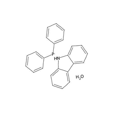 O.c1ccc([P]c2ccccc2)cc1.c1ccc2c(c1)[nH]c1ccccc12